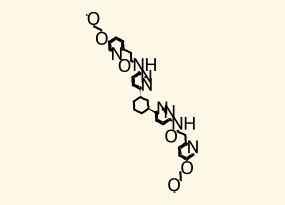 COCCOc1ccc(CC(=O)Nc2ccc([C@H]3CCC[C@H](c4ccc(NC(=O)Cc5ccc(OCCOC)cn5)nn4)C3)nn2)nc1